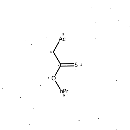 CCCOC(=S)CC(C)=O